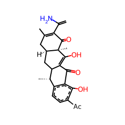 C=C(N)C1=C(C)C[C@@H]2CC3C(=C(O)[C@]2(C)C1=O)C(=O)c1c(ccc(C(C)=O)c1O)[C@@H]3C